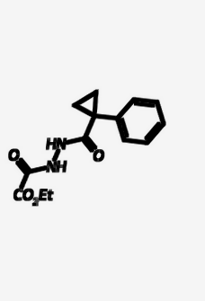 CCOC(=O)C(=O)NNC(=O)C1(c2ccccc2)CC1